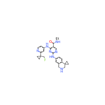 CCNC(=O)c1cnc(Nc2ccc3c(c2)CNCC32CC2)nc1Nc1ccnc(C2(CF)CC2)c1